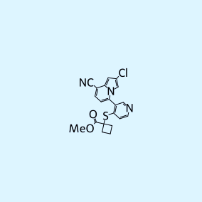 COC(=O)C1(Sc2ccncc2-c2ccc(C#N)c3cc(Cl)cn23)CCC1